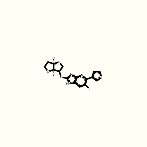 C[C@]12OCC[C@H]1OCC2Oc1nc2nc(-c3ccsc3)c(Cl)cc2[nH]1